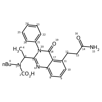 CCCCN(C(=O)O)C(C)c1nc2cccc(CCC(N)=O)c2c(=O)n1-c1ccccc1